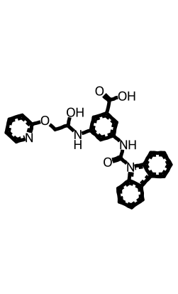 O=C(O)c1cc(NC(=O)n2c3ccccc3c3ccccc32)cc(NC(O)COc2ccccn2)c1